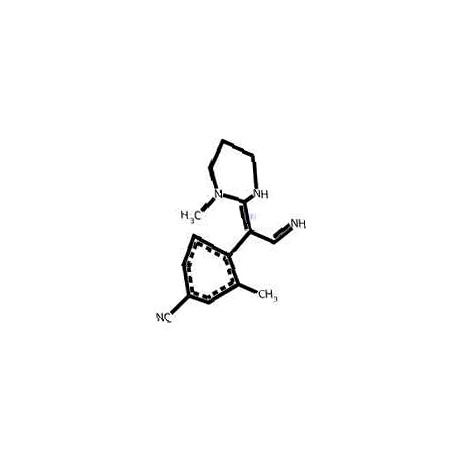 Cc1cc(C#N)ccc1/C(C=N)=C1/NCCCN1C